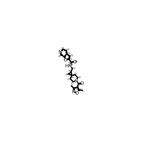 Cc1noc(C)c1C(=O)N1CCC2(CC1)CC2CNC(=O)c1cc2ccncc2o1